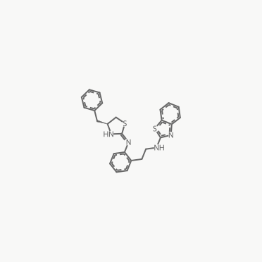 c1ccc(C[C@H]2CS/C(=N/c3ccccc3CCNc3nc4ccccc4s3)N2)cc1